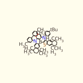 Cc1ccc(-c2ccc(C)cc2N2c3cc4c(cc3B3c5sc6cc7c(cc6c5N(c5ccc(C(C)(C)C)cc5)c5cc(C)cc2c53)C(C)(C)CCC7(C)C)C(C)(C)CCC4(C)C)cc1